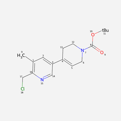 Cc1cc(C2=CCN(C(=O)OC(C)(C)C)CC2)cnc1CCl